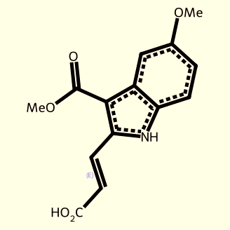 COC(=O)c1c(/C=C/C(=O)O)[nH]c2ccc(OC)cc12